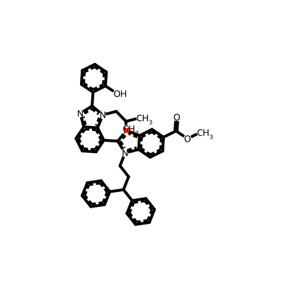 COC(=O)c1ccc2c(c1)nc(-c1cccc3nc(-c4ccccc4O)n(CC(C)C)c13)n2CCC(c1ccccc1)c1ccccc1